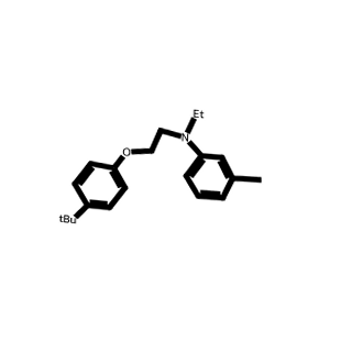 CCN(CCOc1ccc(C(C)(C)C)cc1)c1cccc(C)c1